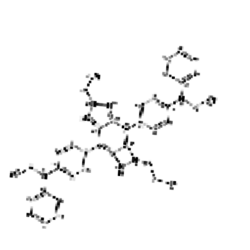 CC(C)CNn1[nH]c2c(-c3ccc(N(CC(C)C)c4ccccc4)cc3)c3nn(CC(C)C)nc3c(-c3ccc(N(CC(C)C)c4ccccc4)cc3)c21